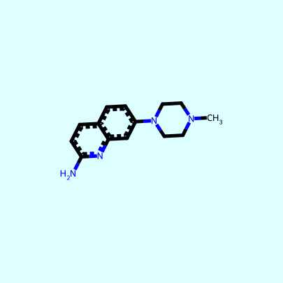 CN1CCN(c2ccc3ccc(N)nc3c2)CC1